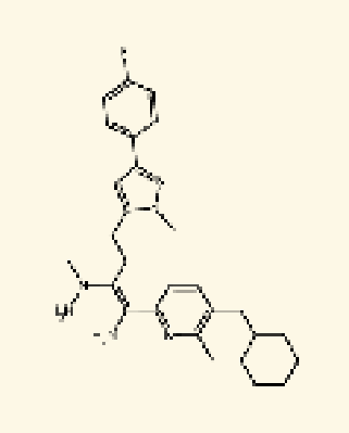 Cc1nc(/C(N)=C(\CCc2cc(-c3ccc(F)cc3)nn2C)N(C)N)ccc1CC1CCCCC1